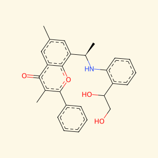 Cc1cc([C@@H](C)Nc2ccccc2C(O)CO)c2oc(-c3ccccc3)c(C)c(=O)c2c1